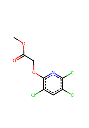 COC(=O)COc1nc(Cl)c(Cl)cc1Cl